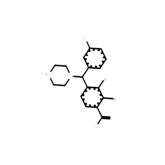 CC(C)c1c(C(N)=O)ccc(C(c2cccc([N+](=O)[O-])c2)N2CCNCC2)c1C(C)C